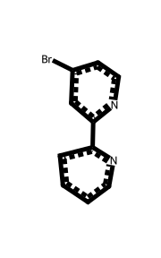 Brc1ccnc(-c2ccccn2)c1